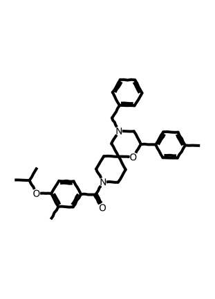 Cc1ccc(C2CN(Cc3ccccc3)CC3(CCN(C(=O)c4ccc(OC(C)C)c(C)c4)CC3)O2)cc1